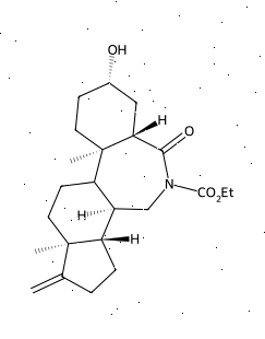 C=C1CC[C@H]2[C@@H]3CN(C(=O)OCC)C(=O)[C@H]4C[C@@H](O)CC[C@]4(C)C3CC[C@]12C